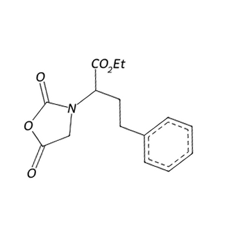 CCOC(=O)C(CCc1ccccc1)N1CC(=O)OC1=O